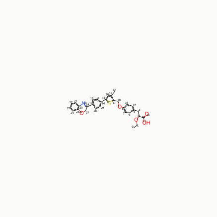 CCOC(Cc1ccc(OCc2sc(-c3ccc(C4=Nc5ccccc5OC4)cc3)cc2C)cc1)C(=O)O